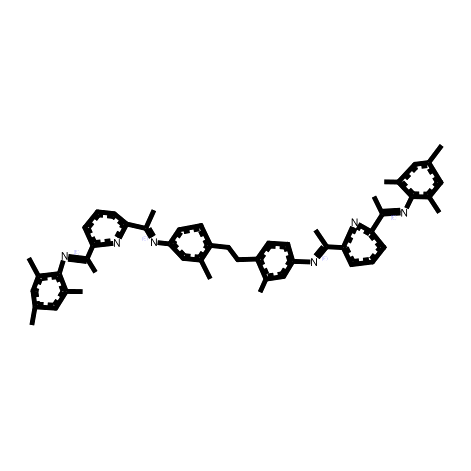 C/C(=N\c1ccc(CCc2ccc(/N=C(\C)c3cccc(/C(C)=N/c4c(C)cc(C)cc4C)n3)cc2C)c(C)c1)c1cccc(/C(C)=N/c2c(C)cc(C)cc2C)n1